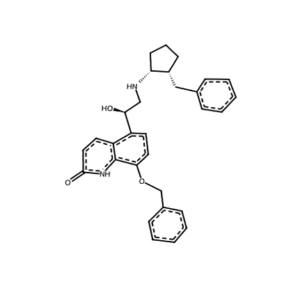 O=c1ccc2c([C@@H](O)CN[C@@H]3CCC[C@@H]3Cc3ccccc3)ccc(OCc3ccccc3)c2[nH]1